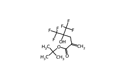 C=C(CC(O)(C(F)(F)F)C(F)(F)F)C(=O)OC(C)(C)C